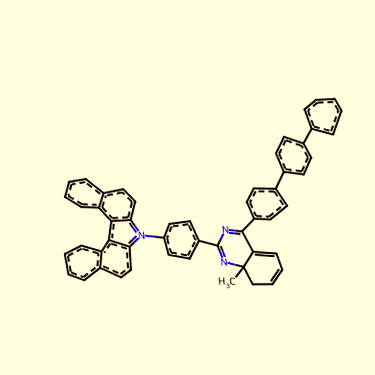 CC12CC=CC=C1C(c1ccc(-c3ccc(-c4ccccc4)cc3)cc1)=NC(c1ccc(-n3c4ccc5ccccc5c4c4c5ccccc5ccc43)cc1)=N2